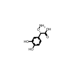 NO[C@H](C(=O)O)c1ccc(O)c(O)c1